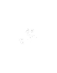 Cc1nn(C)c(C)c1-c1c(Cl)ccc2c(CCCOc3cccc4cc(F)ccc34)c(C(O)OC(C)(C)C)n(CCN3CCC(C=O)CC3)c12